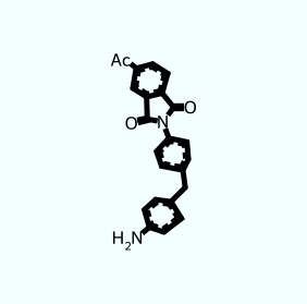 CC(=O)c1ccc2c(c1)C(=O)N(c1ccc(Cc3ccc(N)cc3)cc1)C2=O